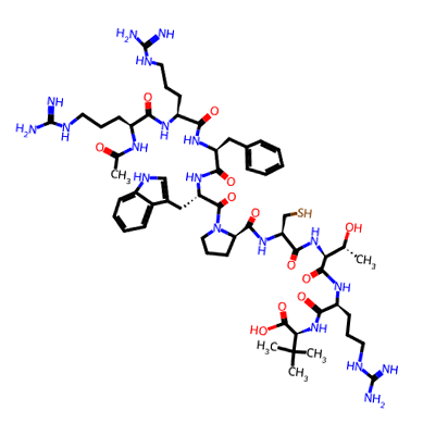 CC(=O)N[C@@H](CCCNC(=N)N)C(=O)N[C@@H](CCCNC(=N)N)C(=O)N[C@@H](Cc1ccccc1)C(=O)N[C@@H](Cc1c[nH]c2ccccc12)C(=O)N1CCC[C@@H]1C(=O)N[C@@H](CS)C(=O)N[C@H](C(=O)N[C@@H](CCCNC(=N)N)C(=O)N[C@H](C(=O)O)C(C)(C)C)[C@@H](C)O